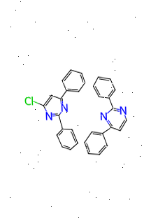 Clc1cc(-c2ccccc2)nc(-c2ccccc2)n1.c1ccc(-c2ccnc(-c3ccccc3)n2)cc1